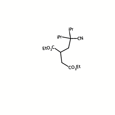 CCOC(=O)CC(CC(C#N)(C(C)C)C(C)C)C(=O)OCC